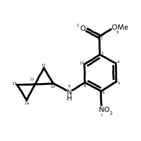 COC(=O)c1ccc([N+](=O)[O-])c(NC2CC23CC3)c1